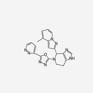 Cc1cccn2nc(C3c4nc[nH]c4CCN3c3nnc(-c4cccnn4)o3)cc12